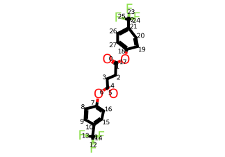 O=C(CCC(=O)Oc1ccc(C(F)(F)F)cc1)Oc1ccc(C(F)(F)F)cc1